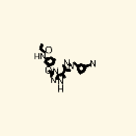 C=CC(=O)Nc1cccc(Oc2cnc3[nH]cc(-c4cnn(Cc5cccc(C#N)c5)c4)c3n2)c1